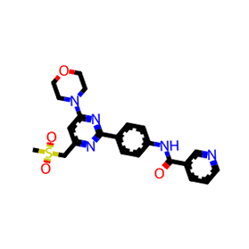 CS(=O)(=O)Cc1cc(N2CCOCC2)nc(-c2ccc(NC(=O)c3cccnc3)cc2)n1